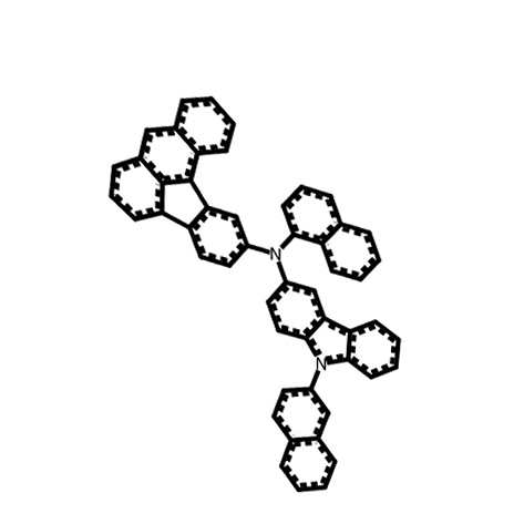 c1ccc2cc(-n3c4ccccc4c4cc(N(c5ccc6c(c5)-c5c7ccccc7cc7cccc-6c57)c5cccc6ccccc56)ccc43)ccc2c1